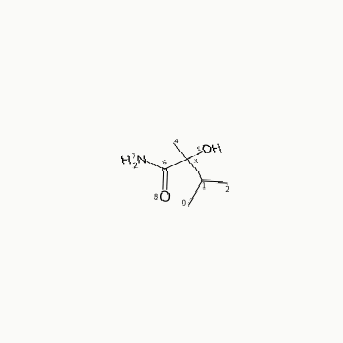 CC(C)C(C)(O)C(N)=O